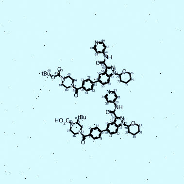 CC(C)(C)C1CN(C(=O)c2ccc(-c3ccc4c(c3)c(C(=O)Nc3ccncc3)nn4C3CCCCO3)cc2)CCN1C(=O)O.CC(C)(C)OC(=O)N1CCN(C(=O)c2ccc(-c3ccc4c(c3)c(C(=O)Nc3ccncc3)nn4C3CCCCO3)cc2)CC1